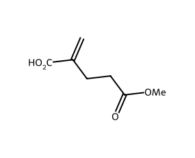 C=C(CCC(=O)OC)C(=O)O